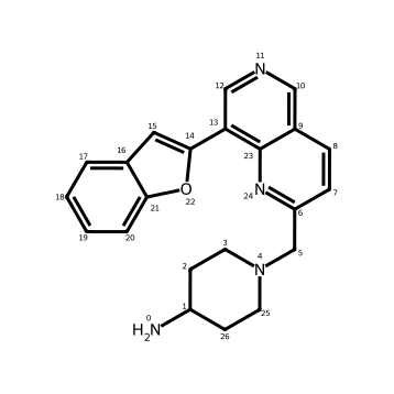 NC1CCN(Cc2ccc3cncc(-c4cc5ccccc5o4)c3n2)CC1